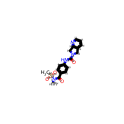 CCCN(C(=O)c1ccc(NC(=O)N2Cc3cccnc3C2)cc1)S(C)(=O)=O